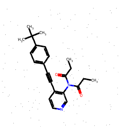 CCC(=O)N(C(=O)CC)c1cnccc1C#Cc1ccc(C(C)(C)C)cc1